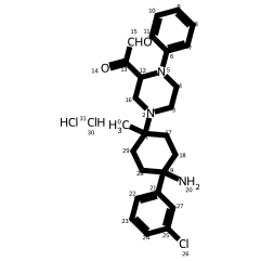 CC1(N2CCN(c3ccccc3)C(C(=O)C=O)C2)CCC(N)(c2cccc(Cl)c2)CC1.Cl.Cl